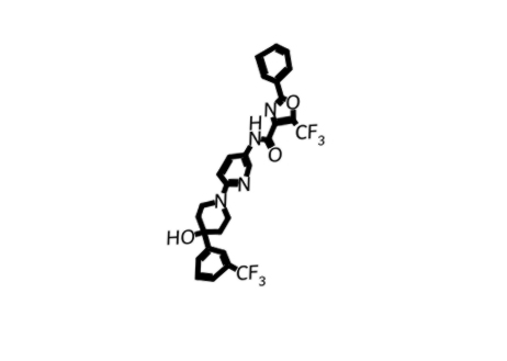 O=C(Nc1ccc(N2CCC(O)(c3cccc(C(F)(F)F)c3)CC2)nc1)c1nc(-c2ccccc2)oc1C(F)(F)F